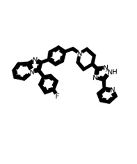 Fc1ccc(-c2c(-c3ccc(CN4CCC(c5n[nH]c(-c6ccccn6)n5)CC4)cc3)nc3ccccn23)cc1